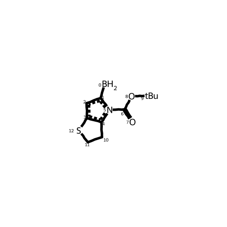 Bc1cc2c(n1C(=O)OC(C)(C)C)CCS2